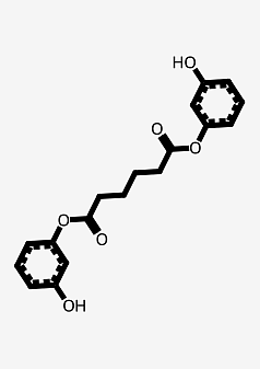 O=C(CCCCC(=O)Oc1cccc(O)c1)Oc1cccc(O)c1